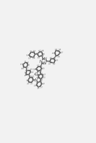 c1ccc(-c2ccc(-c3cccc(-n4c5ccccc5c5ccc6c7cc(-c8nc(-c9cccc(-c%10ccccc%10)c9)nc(-c9cccc(-c%10ccccc%10)c9)n8)ccc7oc6c54)c3)cc2)cc1